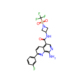 Nc1ncc(C(=O)NC2CN(S(=O)(=O)C(F)(F)F)C2)c2ccc(-c3cccc(F)c3)nc12